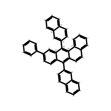 c1ccc(-c2ccc3c(-c4ccc5ccccc5c4)c4ccc5ccccc5c4c(-c4ccc5ccccc5c4)c3c2)cc1